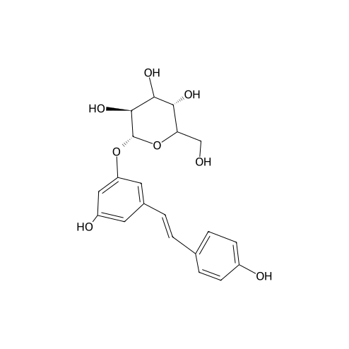 OCC1O[C@H](Oc2cc(O)cc(/C=C/c3ccc(O)cc3)c2)[C@@H](O)C(O)[C@@H]1O